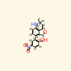 CC1(C)C=C2OCc3c(-c4cc([N+](=O)[O-])ccc4O)ccc(c32)N1